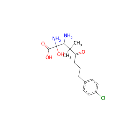 CC(C)(C(=O)CCCc1ccc(Cl)cc1)C(N)C(N)(O)C(=O)O